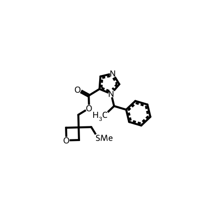 CSCC1(COC(=O)c2cncn2C(C)c2ccccc2)COC1